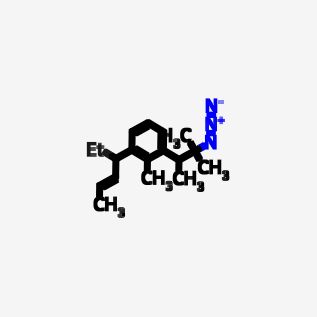 CC=CC(CC)c1cccc(C(C)C(C)(C)N=[N+]=[N-])c1C